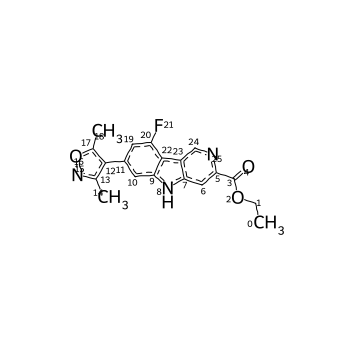 CCOC(=O)c1cc2[nH]c3cc(-c4c(C)noc4C)cc(F)c3c2cn1